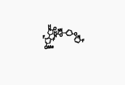 COc1cc(F)c(C2CNC(=O)[C@@H]2Nc2nnc(-c3ccc(Oc4cccc(F)n4)cc3)o2)c(F)c1